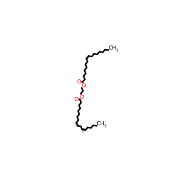 CCCCC/C=C\C/C=C\CCCCCCCC(=O)OCCCOC(=O)CCCCCCC/C=C\CCCCCCCC